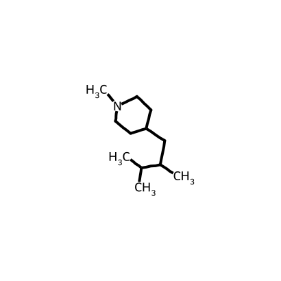 CC(C)C(C)CC1CCN(C)CC1